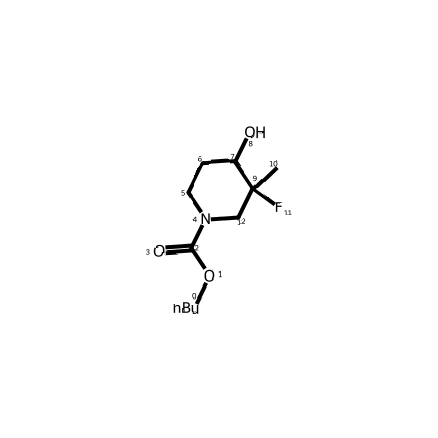 CCCCOC(=O)N1CCC(O)C(C)(F)C1